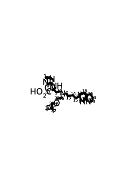 N#Cc1nccnc1NC(CCN(CCCCc1ccc2c(n1)NCCC2)CCOCC(F)F)C(=O)O